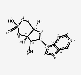 O=P1(O)OC[C@H]2O[C@@H](n3cnc4cncnc43)[C@H](O)[C@@H]2O1